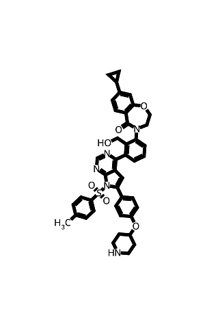 Cc1ccc(S(=O)(=O)n2c(-c3ccc(OC4CCNCC4)cc3)cc3c(-c4cccc(N5CCOc6cc(C7CC7)ccc6C5=O)c4CO)ncnc32)cc1